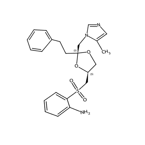 Cc1cncn1C[C@@]1(CCc2ccccc2)OC[C@@H](CS(=O)(=O)c2ccccc2N)O1